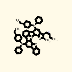 C=C/C=C\c1c(C)oc2c1cc(N(c1ccccc1)c1ccc(CC)cc1)c1c3cccc4c5c(N(c6ccccc6)c6ccc(CC)cc6)cc6c7ccccc7oc6c5n(c34)c21